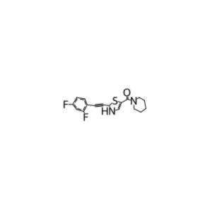 O=C(C1=CNC(C#Cc2ccc(F)cc2F)S1)N1CCCCC1